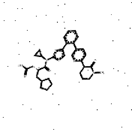 CN1CCCC(c2ccc(-c3ccccc3-c3csc(N(C(=O)[C@@H](CC(=O)O)CC4CCCC4)C4CC4)n3)cn2)C1=O